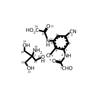 N#Cc1cc(NC(=O)C=O)c(Cl)c(NC(=O)C(=O)O)c1.NC(CO)(CO)CO